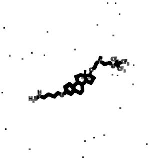 BBCCCCOc1ccc2c(c1)CCC1C2CC[C@@]2(C)C1CC[C@@H]2OCCN(C)CCOC(C(F)(F)F)(C(F)(F)F)C(F)(F)F